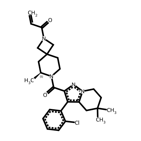 C=CC(=O)N1CC2(CCN(C(=O)c3nn4c(c3-c3ccccc3Cl)CC(C)(C)CC4)[C@@H](C)C2)C1